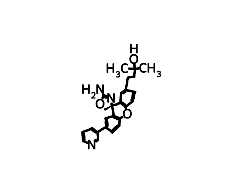 CC(C)(O)CCc1ccc2c(c1)[C@]1(COC(N)=N1)c1cc(-c3cccnc3)ccc1O2